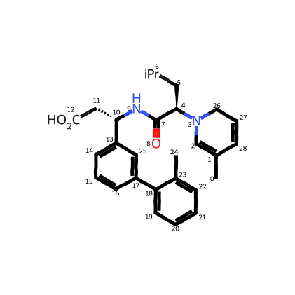 CC1=CN([C@H](CC(C)C)C(=O)N[C@@H](CC(=O)O)c2cccc(-c3ccccc3C)c2)CC=C1